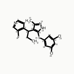 CCC(c1ccncc1F)c1c(C)n[nH]c1Sc1cc(Cl)cc(Cl)c1